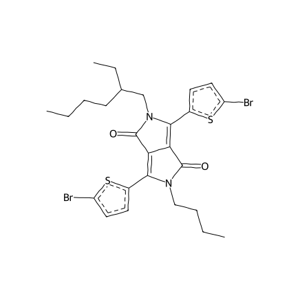 CCCCC(CC)CN1C(=O)C2=C(c3ccc(Br)s3)N(CCCC)C(=O)C2=C1c1ccc(Br)s1